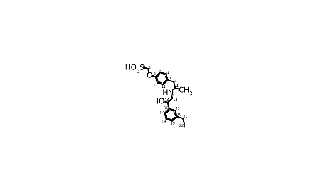 C[C@H](Cc1ccc(OCS(=O)(=O)O)cc1)NC[C@H](O)c1cccc(CI)c1